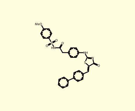 COc1ccc(S(=O)(=O)NC(=O)Cc2ccc(NC3=NC(=O)C(=Cc4ccc(-c5ccccc5)cc4)S3)cc2)cc1